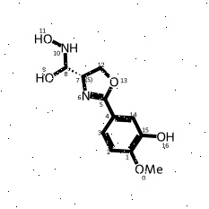 COc1ccc(C2=N[C@H](C(O)NO)CO2)cc1O